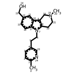 Cc1ccc(CCn2c3c(c4cc(CO)ccc42)CN(C)CC3)cn1